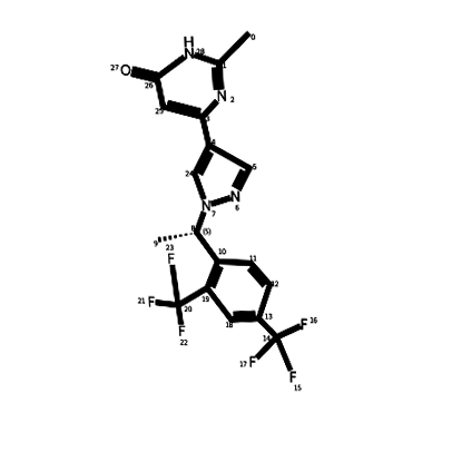 Cc1nc(-c2cnn([C@@H](C)c3ccc(C(F)(F)F)cc3C(F)(F)F)c2)cc(=O)[nH]1